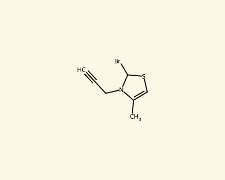 C#CCN1C(C)=CSC1Br